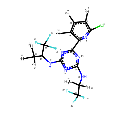 [2H]c1c(Cl)nc(-c2nc(NC(C([2H])([2H])[2H])C(F)(F)F)nc(NC([2H])(C)C(F)(F)F)n2)c([2H])c1[2H]